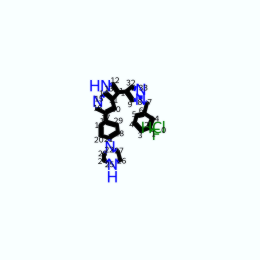 Cl.Fc1cccc(Cn2cc(-c3c[nH]c4ncc(-c5ccc(N6CCNCC6)cc5)cc34)cn2)c1